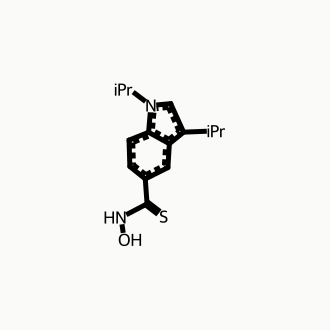 CC(C)c1cn(C(C)C)c2ccc(C(=S)NO)cc12